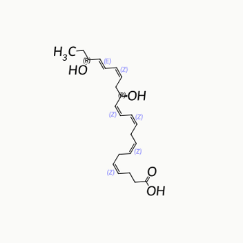 CC[C@@H](O)/C=C/C=C\C[C@@H](O)/C=C\C=C/C/C=C\C/C=C\CCC(=O)O